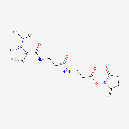 C=C1CCC(=O)N1OC(=O)CC[15NH][13C](=O)CCNC(=O)[13CH]1[13CH2][13CH2][13CH2][15N]1C([13CH3])[13CH3]